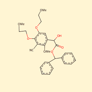 COCCOc1cc(C(O)C(=O)OC(c2ccccc2)c2ccccc2)c(OC)c(C#N)c1OCCOC